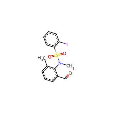 Cc1cccc(C=O)c1N(C)S(=O)(=O)c1ccccc1I